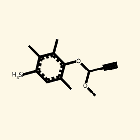 C#CC(OC)Oc1c(C)cc([SiH3])c(C)c1C